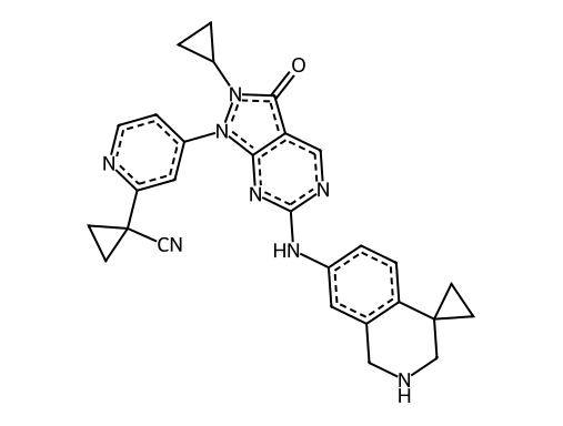 N#CC1(c2cc(-n3c4nc(Nc5ccc6c(c5)CNCC65CC5)ncc4c(=O)n3C3CC3)ccn2)CC1